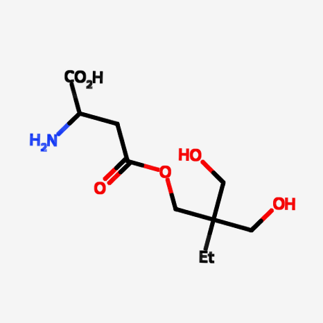 CCC(CO)(CO)COC(=O)CC(N)C(=O)O